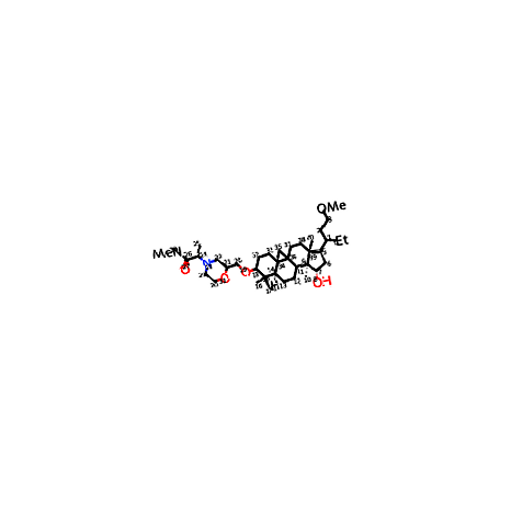 CC[C@H](CCOC)[C@H]1C[C@H](O)[C@@]2(C)C3CC[C@H]4C(C)(C)C(OCC5CN([C@H](C)C(=O)NC)CCO5)CCC45CC35CCC12C